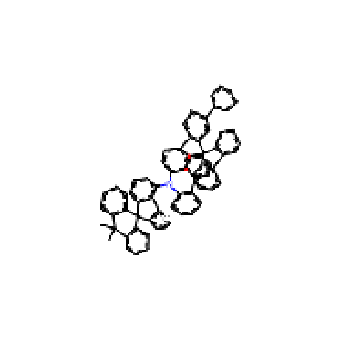 CC1(C)c2ccccc2C2(c3ccccc3-c3c(N(c4ccc5c(c4)C4(c6ccccc6-c6ccccc64)c4cc(-c6ccccc6)ccc4-5)c4ccccc4-c4ccccc4)cccc32)c2ccccc21